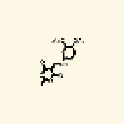 C=c1oc(=O)c(=CNc2ccc(OC(C)=O)c(OC)c2)c(=O)o1